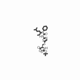 CCC(CCC(C)C)N(C(=O)Nc1ncc(SC[C@@H](NC(=O)OC(C)(C)C)C(=O)O)s1)C1CCCCC1